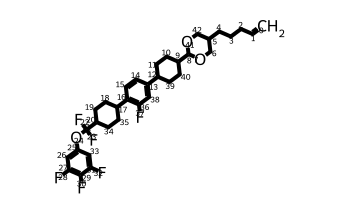 C=CCCCC1COC(C2CCC(c3ccc(C4CCC(C(F)(F)Oc5cc(F)c(F)c(F)c5)CC4)c(F)c3)CC2)OC1